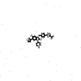 CN1CCC(n2c(=O)n(Cc3ccc(-c4nnc(C(F)F)o4)cn3)c3cc(F)c(-c4ccoc4)cc32)CC1